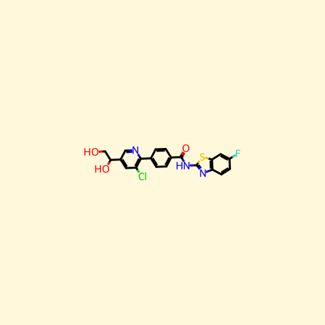 O=C(Nc1nc2ccc(F)cc2s1)c1ccc(-c2ncc(C(O)CO)cc2Cl)cc1